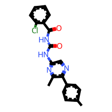 Cc1ccc(-c2ncc(NC(=O)NC(=O)c3ccccc3Cl)nc2C)cc1